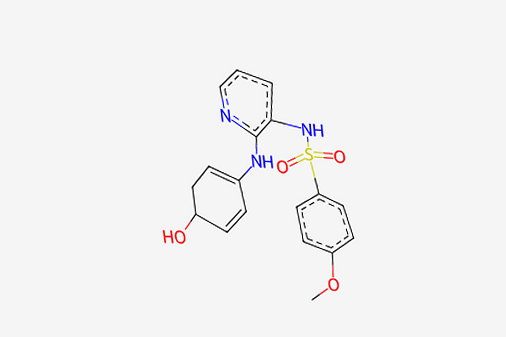 COc1ccc(S(=O)(=O)Nc2cccnc2NC2=CCC(O)C=C2)cc1